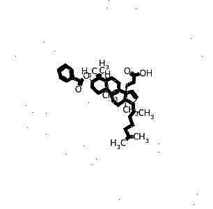 CC(C)CCC[C@@H](C)[C@H]1C=C[C@@]2(CCC(=O)O)C3=C(CC[C@]12C)[C@@]1(C)CC[C@H](OC(=O)c2ccccc2)C(C)(C)[C@@H]1CC3